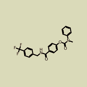 CN(C(=O)Oc1ccc(C(=O)NCc2ccc(C(F)(F)F)cc2)cc1)c1ccccc1